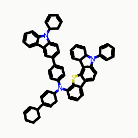 C1=CCC(n2c3ccccc3c3cc(-c4ccc(N(c5cccc6c5sc5c7c(ccc56)N(c5ccccc5)C5C=CC=CC75)C5C=CC(C6C=CCCC6)=CC5)cc4)ccc32)C=C1